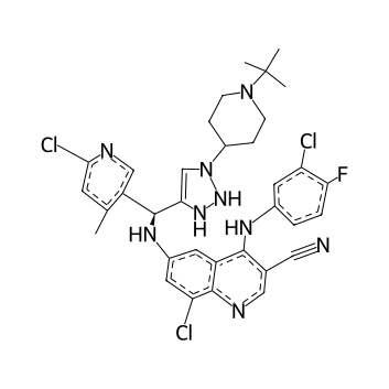 Cc1cc(Cl)ncc1[C@H](Nc1cc(Cl)c2ncc(C#N)c(Nc3ccc(F)c(Cl)c3)c2c1)C1=CN(C2CCN(C(C)(C)C)CC2)NN1